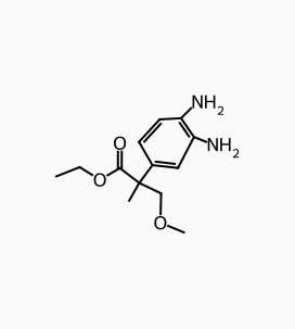 CCOC(=O)C(C)(COC)c1ccc(N)c(N)c1